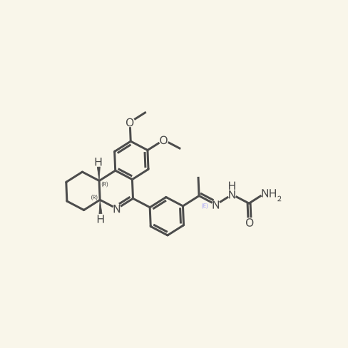 COc1cc2c(cc1OC)[C@H]1CCCC[C@H]1N=C2c1cccc(/C(C)=N/NC(N)=O)c1